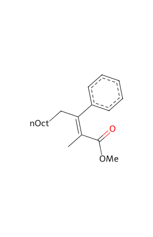 CCCCCCCCCC(=C(C)C(=O)OC)c1ccccc1